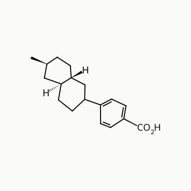 C[C@H]1CC[C@@H]2CC(c3ccc(C(=O)O)cc3)CC[C@H]2C1